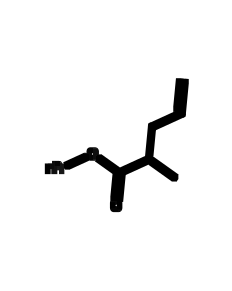 C=CCC(C)C(=O)OCCC